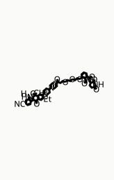 CCc1cc2c(cc1N1CCC(N3CCN(C(=O)CCOCCOCCOc4cccc5c4C(=O)N(C4CCC(=O)NC4=O)C5=O)CC3)CC1)C(C)(C)c1[nH]c3cc(C#N)ccc3c1C2=O